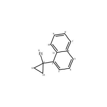 CCC1(c2cccc3ccccc23)CC1